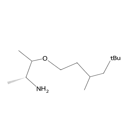 CC(CCOC(C)[C@@H](C)N)CC(C)(C)C